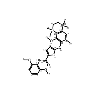 COc1cccc(OC)c1NC(=O)c1ccc(Oc2c(C)cc3c(c2OC)[Si](C)(C)CC[Si]3(C)C)o1